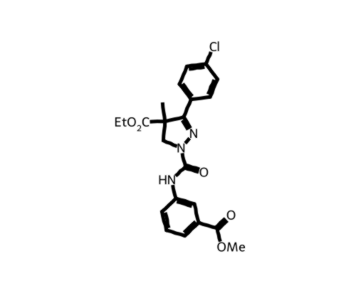 CCOC(=O)C1(C)CN(C(=O)Nc2cccc(C(=O)OC)c2)N=C1c1ccc(Cl)cc1